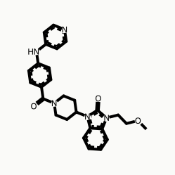 COCCn1c(=O)n(C2CCN(C(=O)c3ccc(Nc4ccncc4)cc3)CC2)c2ccccc21